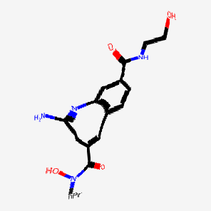 CCCN(O)C(=O)C1=Cc2ccc(C(=O)NCCO)cc2N=C(N)C1